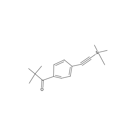 CC(C)(C)C(=O)c1ccc(C#C[Si](C)(C)C)cc1